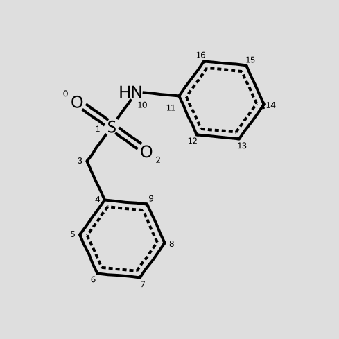 O=S(=O)(Cc1ccccc1)Nc1cc[c]cc1